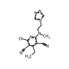 CCc1c(C#N)c(Cl)nc(N(C)CCn2cnnc2)c1C#N